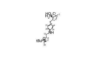 CC(C)(C(=O)O)C(N)CCc1ccc(NCCO[Si](C)(C)C(C)(C)C)cc1